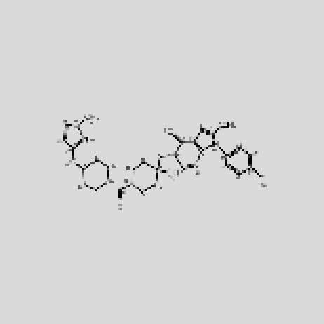 Cc1cc2c(=O)n(CC3(O)CCN(C(=O)[C@H]4CC[C@H](Oc5ccn(C)n5)CC4)CC3)cnc2n1-c1ccc(F)cc1